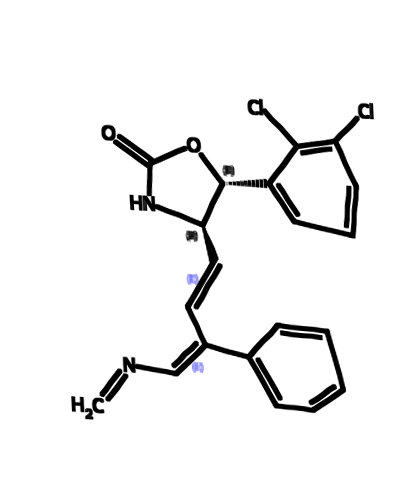 C=N/C=C(\C=C\[C@H]1NC(=O)O[C@@H]1c1cccc(Cl)c1Cl)c1ccccc1